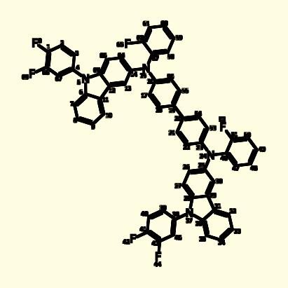 Fc1ccc(-n2c3ccccc3c3cc(N(c4ccc(-c5ccc(N(c6ccc7c(c6)c6ccccc6n7-c6ccc(F)c(F)c6)c6ccccc6F)cc5)cc4)c4ccccc4F)ccc32)cc1F